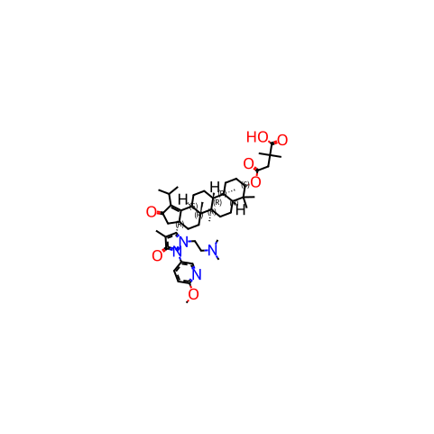 COc1ccc(-n2c(=O)c(C)c([C@@]34CC[C@]5(C)[C@H](CC[C@@H]6[C@@]7(C)CC[C@H](OC(=O)CC(C)(C)C(=O)O)C(C)(C)[C@@H]7CC[C@]65C)C3=C(C(C)C)C(=O)C4)n2CCN(C)C)cn1